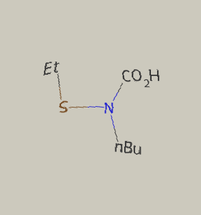 CCCCN(SCC)C(=O)O